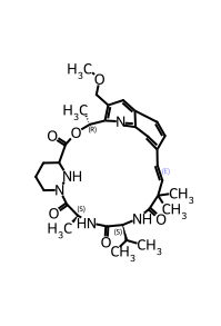 COCc1cc2ccc3cc2nc1[C@@H](C)OC(=O)C1CCCN(N1)C(=O)[C@H](C)NC(=O)[C@H](C(C)C)NC(=O)C(C)(C)/C=C/3